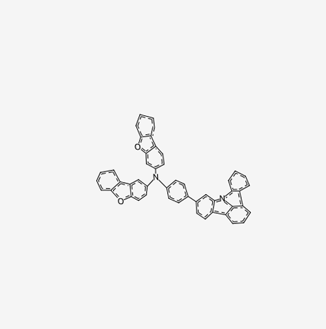 c1ccc2c(c1)oc1cc(N(c3ccc(-c4ccc5c6cccc7c8ccccc8n(c5c4)c76)cc3)c3ccc4oc5ccccc5c4c3)ccc12